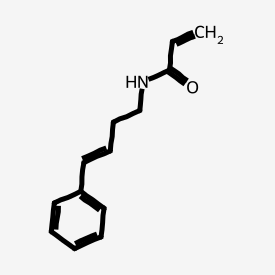 C=CC(=O)NCCC=Cc1ccccc1